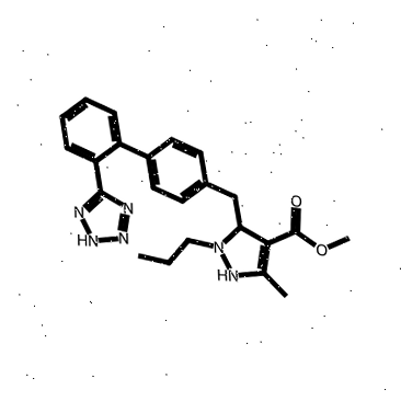 CCCN1NC(C)=C(C(=O)OC)C1Cc1ccc(-c2ccccc2-c2nn[nH]n2)cc1